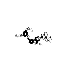 COc1cc(OC)cc(OCc2cccc(C3=C(C(=O)O)CN(C(=O)OC(C)(C)C)CC3)c2)c1